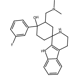 CN(C)CC1CC2(CCC1(O)c1cccc(F)c1)NCCc1c2[nH]c2ccccc12